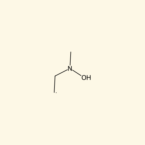 [CH2]CN(C)O